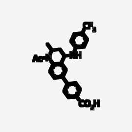 CC(=O)N1c2ccc(-c3ccc(C(=O)O)cc3)cc2C(Nc2ccc(C(F)(F)F)cc2)CC1C